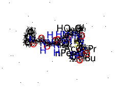 CCCCCON(C(=O)[C@@H](NC(=O)[C@H]1CCCCN1C)[C@@H](C)CC)[C@H](C[C@@H](OC(C)=O)c1nc(C(=O)N[C@@H](Cc2ccc(NC(=O)CNC(=O)[C@H](Cc3ccccc3)NC(=O)CNC(=O)CNC(=O)CCC(=O)N3Cc4ccccc4C#Cc4ccccc43)cc2)CC(C)(C)C(=O)O)cs1)C(C)C